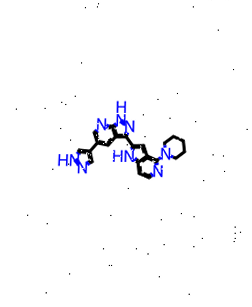 c1cc2[nH]c(-c3n[nH]c4ncc(-c5cn[nH]c5)cc34)cc2c(N2CCCCC2)n1